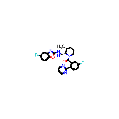 C[C@@H]1CCCN(C(=O)c2cc(F)ccc2-c2ncccn2)[C@@H]1CNc1nc2cc(F)ccc2o1